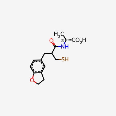 C[C@H](NC(=O)C(CS)Cc1ccc2c(c1)CCO2)C(=O)O